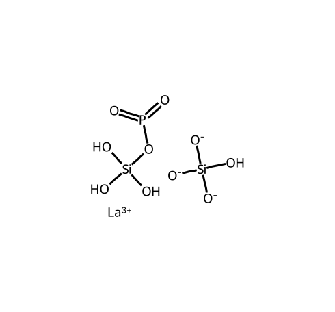 O=P(=O)O[Si](O)(O)O.[La+3].[O-][Si]([O-])([O-])O